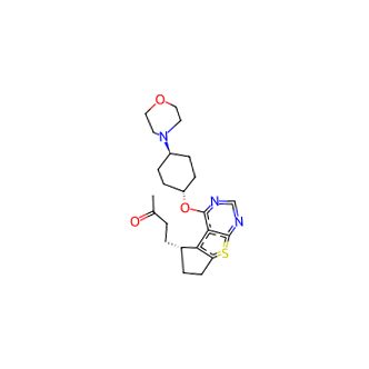 CC(=O)CC[C@H]1CCc2sc3ncnc(O[C@H]4CC[C@H](N5CCOCC5)CC4)c3c21